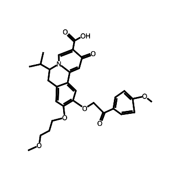 COCCCOc1cc2c(cc1OCC(=O)c1ccc(OC)cc1)-c1cc(=O)c(C(=O)O)cn1C(C(C)C)C2